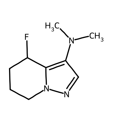 CN(C)c1cnn2c1C(F)CCC2